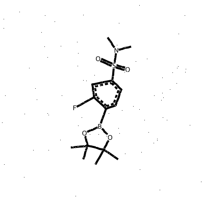 CN(C)S(=O)(=O)c1ccc(B2OC(C)(C)C(C)(C)O2)c(F)c1